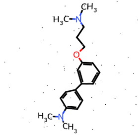 CN(C)CCCOc1cc[c]c(-c2ccc(N(C)C)cc2)c1